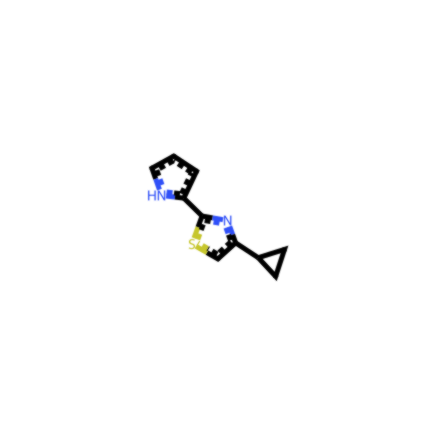 c1c[nH]c(-c2nc(C3CC3)cs2)c1